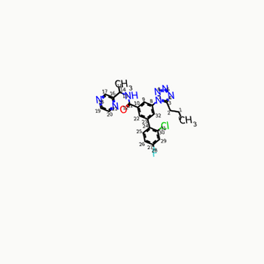 CCCc1nnnn1-c1cc(C(=O)NC(C)c2cnccn2)cc(-c2ccc(F)cc2Cl)c1